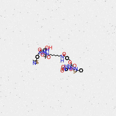 Cc1ncsc1-c1ccc(CNC(=O)[C@@H]2C[C@@H](O)CN2C(=O)[C@@H](NC(=O)CCCCCCCNC(=O)c2ccc(COC[C@H](NC(=O)c3ccn(S(C)(=O)=O)c3)C(=O)Nc3nc(-c4ccccc4)cs3)cc2)C(C)(C)C)cc1